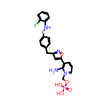 Nc1c(-c2cc(Cc3ccc(CNc4ccccc4F)cc3)no2)ccc[n+]1COP(=O)(O)O